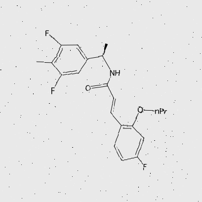 CCCOc1cc(F)ccc1/C=C/C(=O)N[C@H](C)c1cc(F)c(C)c(F)c1